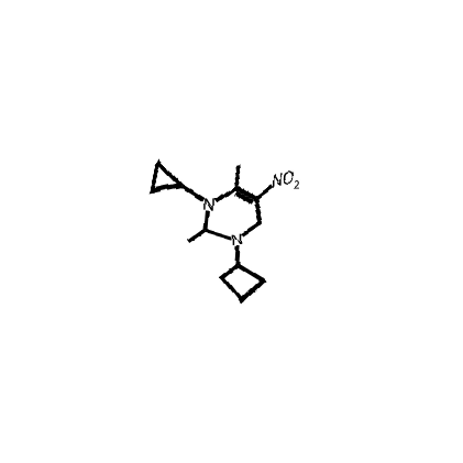 CC1=C([N+](=O)[O-])CN(C2CCC2)C(C)N1C1CC1